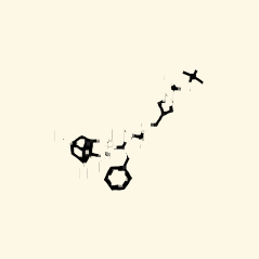 CC(C)(C)OC(=O)N1CC(COC(=O)N[C@@H](Cc2ccccc2)B2O[C@H]3[C@H]4C[C@@H](C[C@@]3(C)O2)C4(C)C)C1